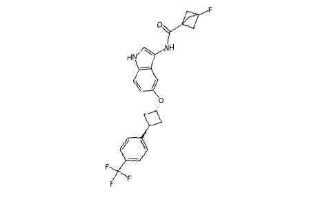 O=C(Nc1c[nH]c2ccc(O[C@H]3C[C@H](c4ccc(C(F)(F)F)cc4)C3)cc12)C12CC(F)(C1)C2